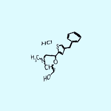 CN(C)CC(OCCO)c1cc(Cc2ccccc2)cs1.Cl